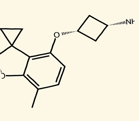 Cc1ccc(O[C@H]2C[C@@H](N)C2)c2c1OCC21CC1